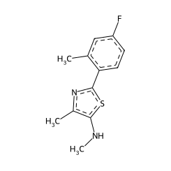 CNc1sc(-c2ccc(F)cc2C)nc1C